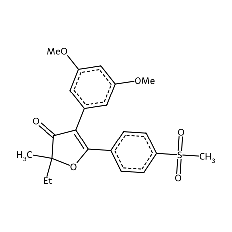 CCC1(C)OC(c2ccc(S(C)(=O)=O)cc2)=C(c2cc(OC)cc(OC)c2)C1=O